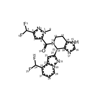 Cn1nc(C(F)F)cc1C(=O)N1CCc2[nH]cnc2[C@H]1c1cc2c(C(F)F)cccn2n1